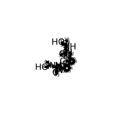 CC[C@H](CO)NCc1ncc(-c2cccc(-c3cccc(-c4cnc(CN[C@@H](CC)CO)c(OC)n4)c3Cl)c2Cl)nc1OC